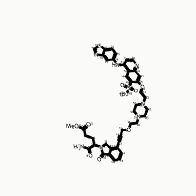 COC(=O)CCC(C(N)=O)N1Cc2c(C#CCOCCN3CCN(CCOc4cc5nccc(Nc6ccc7scnc7c6)c5cc4S(=O)(=O)C(C)(C)C)CC3)cccc2C1=O